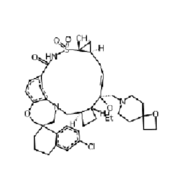 CCO[C@]1(CN2CCC3(CCO3)CC2)/C=C/C[C@@H]2C[C@@]2(C)S(=O)(=O)NC(=O)c2ccc3c(c2)N(C[C@@H]2CC[C@H]21)C[C@@]1(CCCc2cc(Cl)ccc21)CO3